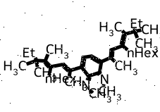 CCCCCCC(/C=C(\C)C1=CC=C(/C(C)=C/C(CCCCCC)=C(\C)C(C)(C)CC)C(=N/C)/C1=N\C)=C(/C)C(C)(C)CC